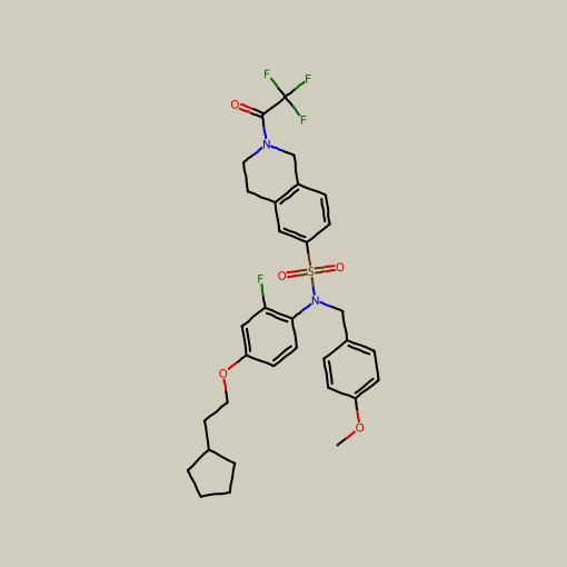 COc1ccc(CN(c2ccc(OCCC3CCCC3)cc2F)S(=O)(=O)c2ccc3c(c2)CCN(C(=O)C(F)(F)F)C3)cc1